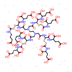 O=C(O)CCCNC(=O)SSC(NC(=O)CN(CCN(CC(=O)NC(SSC(=O)NC(CCC(=O)O)C(=O)O)C(=O)NC(CCC(=O)O)C(=O)O)CC(=O)NC(SSC(=O)NC(CCC(=O)O)C(=O)O)C(=O)NC(CCC(=O)O)C(=O)O)CC(=O)NC(SSC(=O)NC(CCC(=O)O)C(=O)O)C(=O)NC(CCC(=O)O)C(=O)O)C(=O)NC(CCC(=O)O)C(=O)O